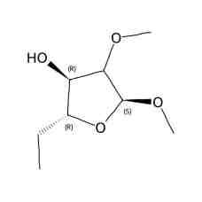 CC[C@H]1O[C@H](OC)C(OC)[C@@H]1O